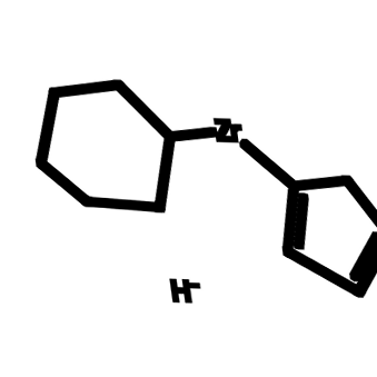 C1=CC[C]([Zr][CH]2CCCCC2)=C1.[H-]